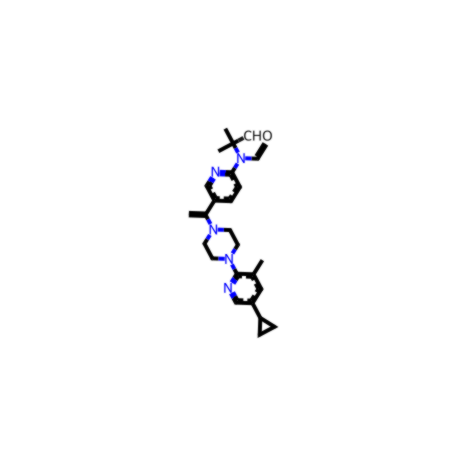 C=CN(c1ccc(C(=C)N2CCN(c3ncc(C4CC4)cc3C)CC2)cn1)C(C)(C)C=O